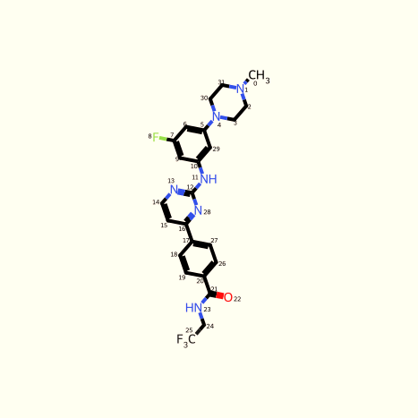 CN1CCN(c2cc(F)cc(Nc3nccc(-c4ccc(C(=O)NCC(F)(F)F)cc4)n3)c2)CC1